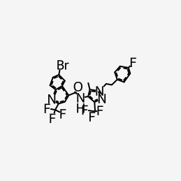 Cc1c(NC(=O)c2cc(C(F)(F)F)nc3ccc(Br)cc23)c(C(F)(F)F)nn1CCc1ccc(F)cc1